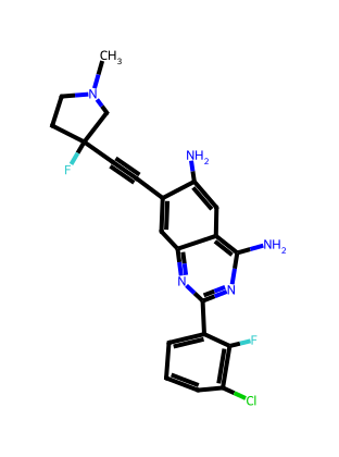 CN1CCC(F)(C#Cc2cc3nc(-c4cccc(Cl)c4F)nc(N)c3cc2N)C1